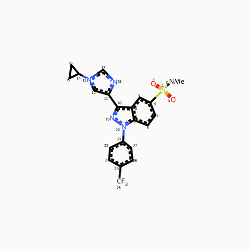 CNS(=O)(=O)c1ccc2c(c1)c(-c1cn(C3CC3)cn1)nn2-c1ccc(C(F)(F)F)cc1